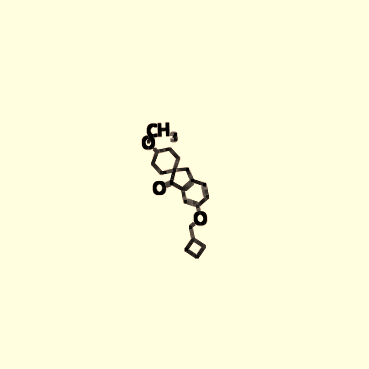 COC1CCC2(CC1)Cc1ccc(OCC3CCC3)cc1C2=O